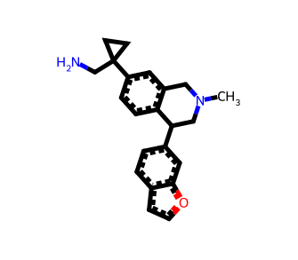 CN1Cc2cc(C3(CN)CC3)ccc2C(c2ccc3ccoc3c2)C1